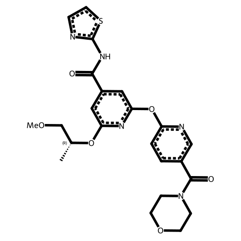 COC[C@@H](C)Oc1cc(C(=O)Nc2nccs2)cc(Oc2ccc(C(=O)N3CCOCC3)cn2)n1